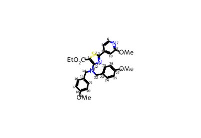 CCOC(=O)c1sc(-c2ccnc(OC)c2)nc1N(Cc1ccc(OC)cc1)Cc1ccc(OC)cc1